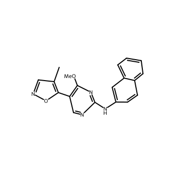 COc1nc(Nc2ccc3ccccc3c2)ncc1-c1oncc1C